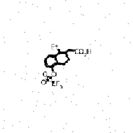 CCC1c2cccc(OS(=O)(=O)C(F)(F)F)c2CCC1CC(=O)O